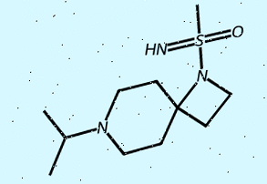 CC(C)N1CCC2(CC1)CCN2S(C)(=N)=O